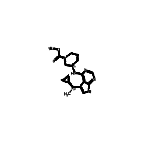 C[C@@H](c1c[nH]c2ncnc(N[C@@H]3CCCN(C(=O)OC(C)(C)C)C3)c12)C1CC1